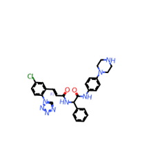 O=C(/C=C/c1cc(Cl)ccc1-n1cnnn1)NC(C(=O)Nc1ccc(N2CCNCC2)cc1)c1ccccc1